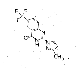 Cc1ccn(-c2nc3ccc(C(F)(F)F)cc3c(=O)[nH]2)n1